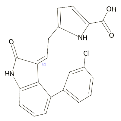 O=C1Nc2cccc(-c3cccc(Cl)c3)c2/C1=C/Cc1ccc(C(=O)O)[nH]1